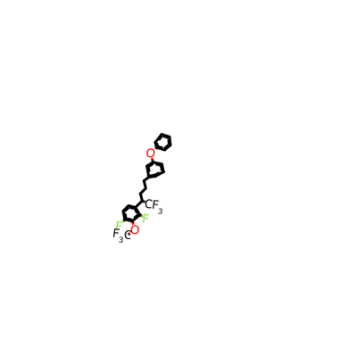 Fc1ccc(C(CCCc2cccc(Oc3ccccc3)c2)C(F)(F)F)c(F)c1OC(F)(F)F